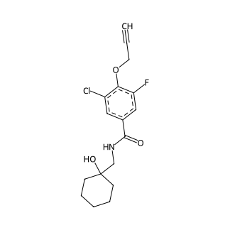 C#CCOc1c(F)cc(C(=O)NCC2(O)CCCCC2)cc1Cl